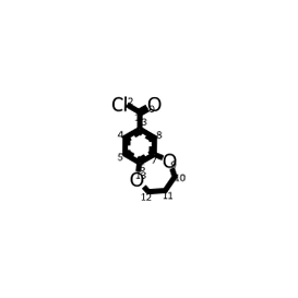 O=C(Cl)c1ccc2c(c1)OCCCO2